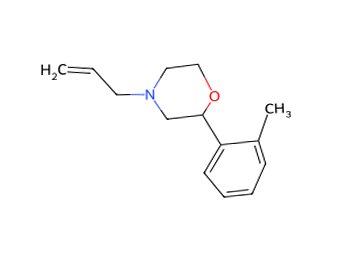 C=CCN1CCOC(c2ccccc2C)C1